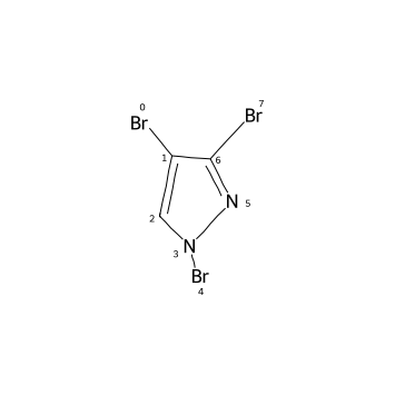 Brc1cn(Br)nc1Br